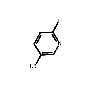 Bc1ccc(I)nc1